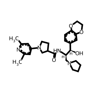 Cc1cc(N2CCC(C(=O)N[C@H](CN3CCCC3)[C@H](O)c3ccc4c(c3)OCCO4)C2)cc(C)n1